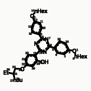 CCCCCCOc1ccc(-c2nc(-c3ccc(OCCCCCC)cc3)nc(-c3ccc(OCC(CC)CCCC)cc3O)n2)cc1